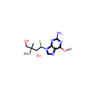 CCOc1nc(N)nc2c1ncn2[C@H](F)[C@H](O)[C@@](C)(CO)OC